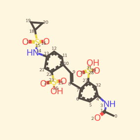 CC(=O)Nc1ccc(C=Cc2ccc(NS(=O)(=O)C3CC3)cc2S(=O)(=O)O)c(S(=O)(=O)O)c1